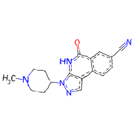 CN1CCC(n2ncc3c4ccc(C#N)cc4c(=O)[nH]c32)CC1